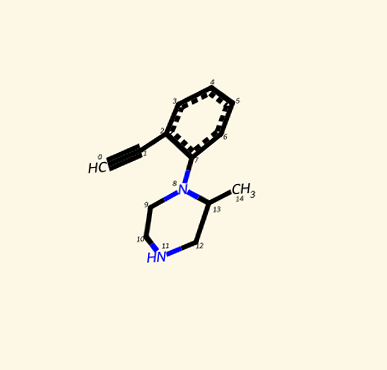 C#Cc1ccccc1N1CCNCC1C